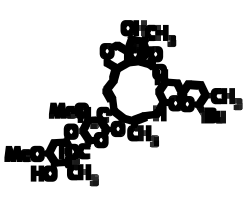 CC[C@H](C)[C@H]1OC2(C=C[C@@H]1C)C[C@@H]1C[C@@H](C/C=C(\C)[C@@H](O[C@H]3C[C@H](OC)[C@@H](O[C@H]4C[C@H](OC)[C@@H](O)C(C)O4)[C@H](C)O3)[C@@H](C)/C=C/C=C3\COC[C@@H]4[C@H](O)C(C)=CC(C(=O)O1)[C@]34O)O2